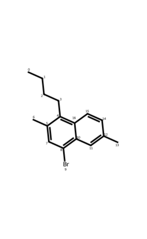 CCCCc1c(C)cc(Br)c2cc(C)ccc12